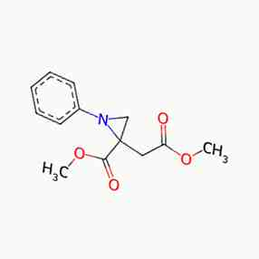 COC(=O)CC1(C(=O)OC)CN1c1ccccc1